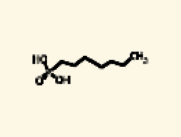 CCCCCCCP(=O)(O)O